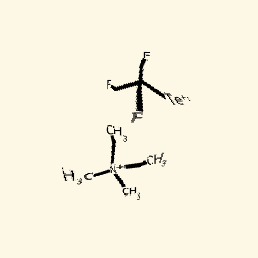 C[N+](C)(C)C.FC(F)(F)[Te+]